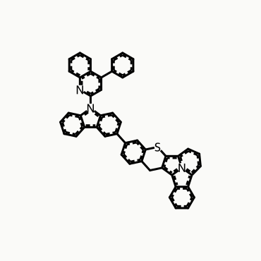 c1ccc(-c2cc(-n3c4ccccc4c4cc(-c5ccc6c(c5)Sc5c(c7c8ccccc8c8cccc5n87)C6)ccc43)nc3ccccc23)cc1